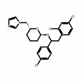 Clc1ccc(C(Cc2ccc(Cl)cc2Cl)O[C@H]2CCC[C@H](Cn3ccnc3)O2)cc1